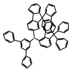 c1ccc(-c2cc(-c3ccccc3)cc(N(c3ccc4c(c3)C3(c5ccccc5-c5ccccc53)c3ccccc3-4)c3cccc4c3-c3ccccc3C4(c3ccccc3)c3ccccc3)c2)cc1